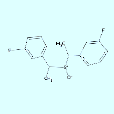 CC(c1cccc(F)c1)[S+]([O-])C(C)c1cccc(F)c1